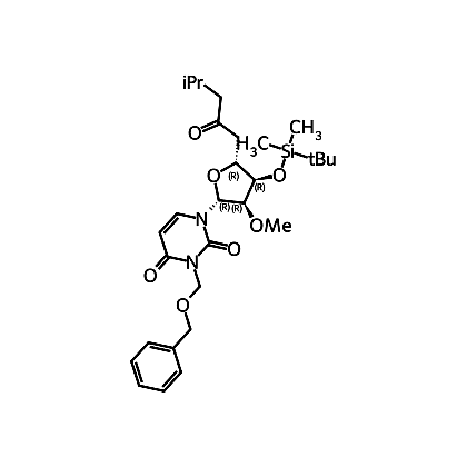 CO[C@@H]1[C@H](O[Si](C)(C)C(C)(C)C)[C@@H](CC(=O)CC(C)C)O[C@H]1n1ccc(=O)n(COCc2ccccc2)c1=O